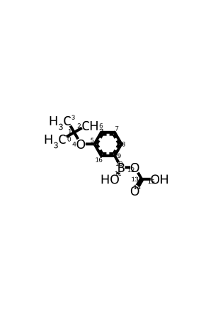 CC(C)(C)Oc1cccc(B(O)OC(=O)O)c1